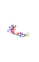 CCC1CCN(C(=O)C(CC(C)(C)C)NC(=O)OC2(C)C[C@H]2CCCCCc2nc3ccc(OCC(F)(F)F)cc3nc2O)[C@@H]1C(=O)C(C)C